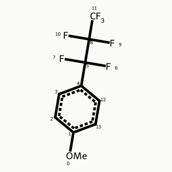 COc1ccc(C(F)(F)C(F)(F)C(F)(F)F)cc1